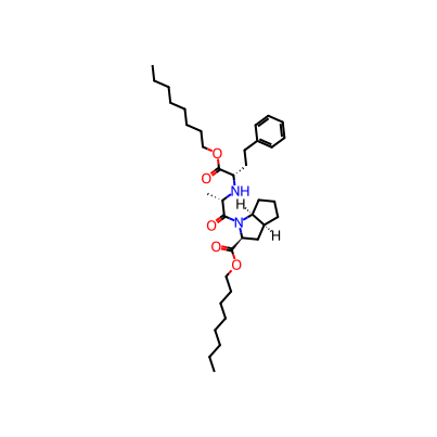 CCCCCCCCOC(=O)[C@H](CCc1ccccc1)N[C@@H](C)C(=O)N1[C@H](C(=O)OCCCCCCCC)C[C@@H]2CCC[C@@H]21